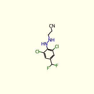 N#CCCNNc1c(Cl)cc(C(F)F)cc1Cl